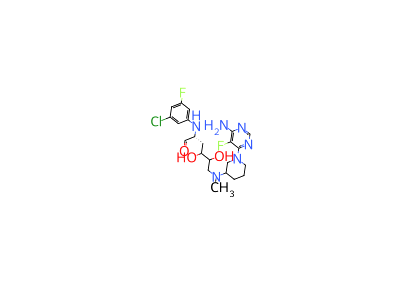 CN(CC(O)C(O)C[C@H](C=O)Nc1cc(F)cc(Cl)c1)C1CCCN(c2ncnc(N)c2F)C1